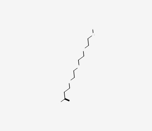 CCNCCOCCOCCOCCC(=O)C(C)(C)C